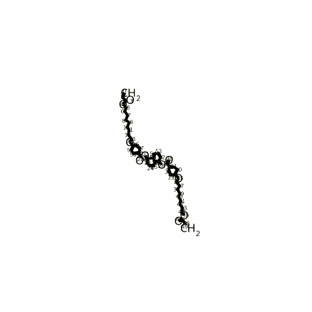 C=CC(=O)OCCCCCCCCCOc1ccc(C(=O)Oc2cccc3c(OC(=O)c4ccc(OCCCCCCCCCOC(=O)C=C)cc4)cccc23)cc1